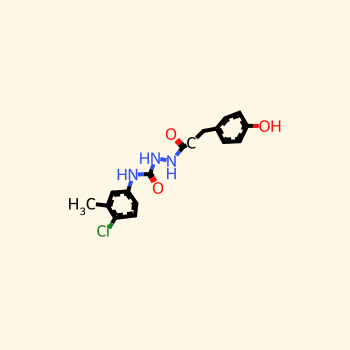 Cc1cc(NC(=O)NNC(=O)CCc2ccc(O)cc2)ccc1Cl